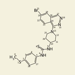 CSc1ccc(NC(=S)NC2CCN(c3nncc4cc(Br)ccc34)CC2)cc1